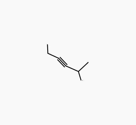 [CH2]C(C)C#CCC